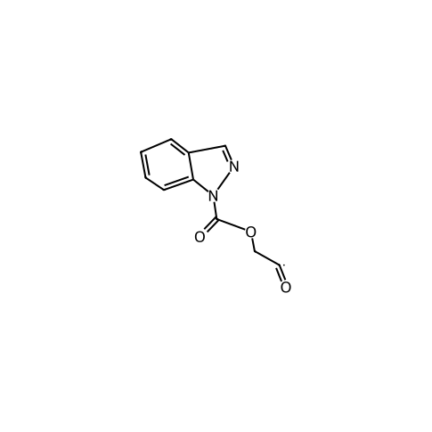 O=[C]COC(=O)n1ncc2ccccc21